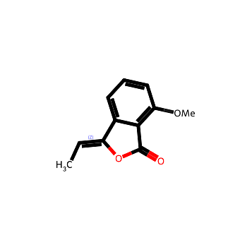 C/C=C1\OC(=O)c2c(OC)cccc21